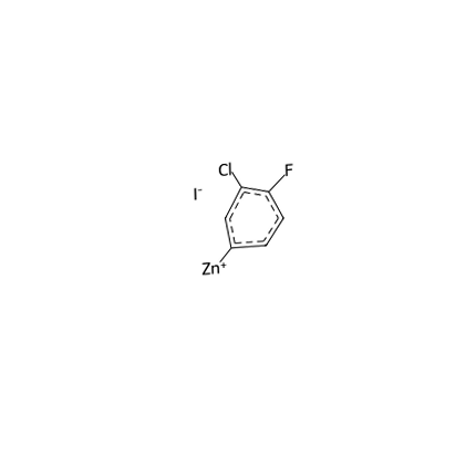 Fc1cc[c]([Zn+])cc1Cl.[I-]